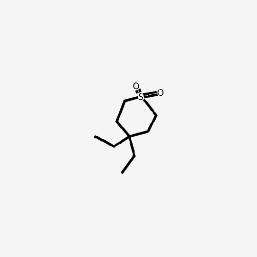 CCC1(CC)CCS(=O)(=O)CC1